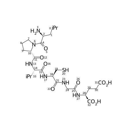 CC(C)C[C@H](N)C(=O)N1CCC[C@H]1C(=O)N[C@H](C(=O)N[C@@H](CS)C(=O)NCC(=O)N[C@@H](CCC(=O)O)C(=O)O)C(C)C